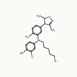 CC1=NOC(C)C1c1ccc(C)c(N(CCCCCBr)c2ccc(C#N)c(Cl)c2)c1